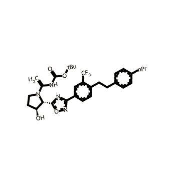 C=C(NC(=O)OC(C)(C)C)N1CC[C@H](O)[C@H]1c1nc(-c2ccc(CCc3ccc(CCC)cc3)c(C(F)(F)F)c2)no1